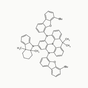 CC(C)(C)c1cccc2c1oc1c(N3c4cc(N5c6ccccc6C6(C)CCCCC56C)cc5c4B4c6c3cccc6C(C)(C)c3cccc(c34)N5c3cccc4c3oc3c(C(C)(C)C)cccc34)cccc12